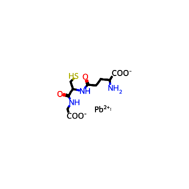 NC(CCC(=O)NC(CS)C(=O)NCC(=O)[O-])C(=O)[O-].[Pb+2]